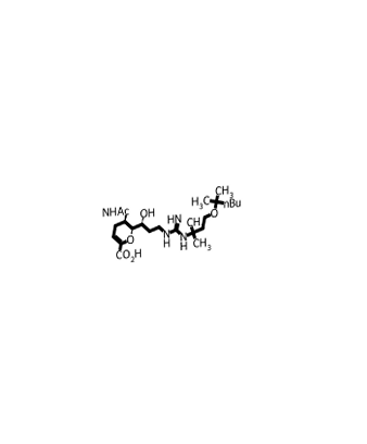 CCCCC(C)(C)OCCC(C)(C)NC(=N)NCC[C@@H](O)[C@@H]1OC(C(=O)O)=CC[C@H]1NC(C)=O